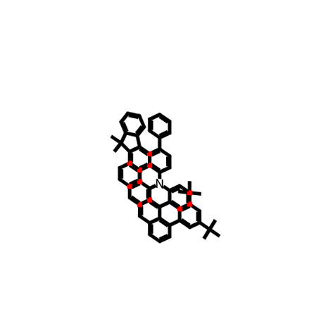 CC(C)(C)c1cc(-c2cccc3cccc(-c4ccccc4N(c4ccccc4-c4ccc5c(c4)C(C)(C)c4ccccc4-5)c4ccc(-c5ccccc5)cc4-c4ccccc4)c23)cc(C(C)(C)C)c1